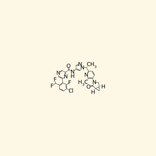 Cc1nc([C@@H](C)n2cc(NC(=O)c3cncc(-c4c(C(F)F)ccc(Cl)c4F)n3)cn2)ccc1N1C[C@H]2C[C@H]2C1=O